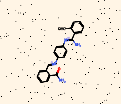 NC(=O)c1ccccc1/C=N/c1ccc(/N=C(\N)c2ccccc2C=O)cc1